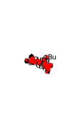 CC(C)(C)OC(=O)N[C@@H](CSSC[C@H](NC(=O)OC(C)(C)C)C(=O)N1CCn2nc(-c3ccccc3)cc2[C@@H]1CC1CCCCC1)C(=O)N1CCn2nc(-c3ccccc3)cc2[C@@H]1CC1CCCCC1